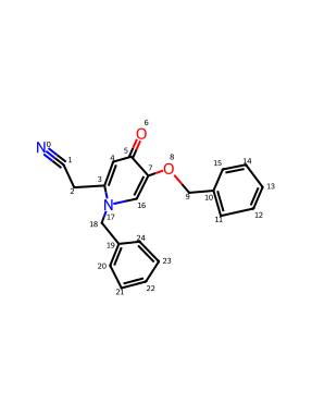 N#CCc1cc(=O)c(OCc2ccccc2)cn1Cc1ccccc1